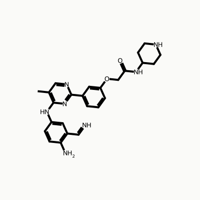 Cc1cnc(-c2cccc(OCC(=O)NC3CCNCC3)c2)nc1Nc1ccc(N)c(C=N)c1